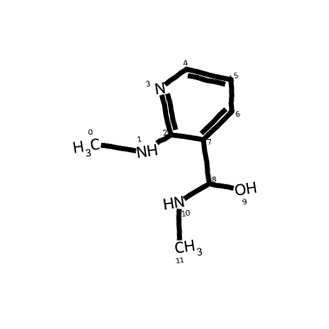 CNc1nc[c]cc1C(O)NC